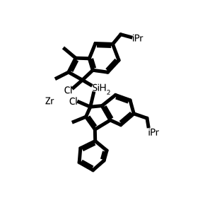 CC1=C(C)C(Cl)([SiH2]C2(Cl)C(C)=C(c3ccccc3)c3cc(CC(C)C)ccc32)c2ccc(CC(C)C)cc21.[Zr]